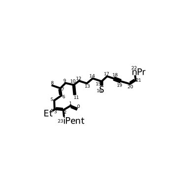 C=C/C(=C(/CC)C/C=C(\C)CC(=C)CCCC(=S)CC#C/C=C\CCC)C(C)CCC